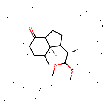 COC(OC)[C@@H](C)C1CCC2C(=O)CCC(C)[C@@H]21